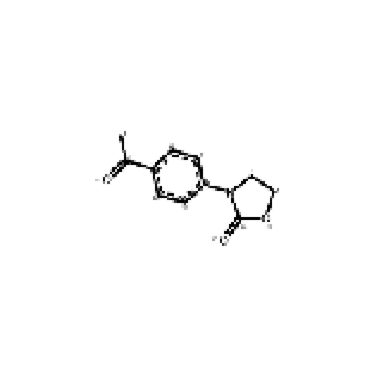 CC(=O)c1ccc(N2C[CH]OC2=O)cc1